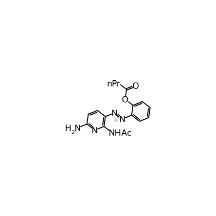 CCCC(=O)Oc1ccccc1/N=N/c1ccc(N)nc1NC(C)=O